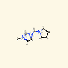 C[n+]1ccn(CN2C[CH]CC2)c1